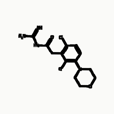 N=C(N)NC(=O)Cc1c(Cl)ccc(N2CCOCC2)c1Cl